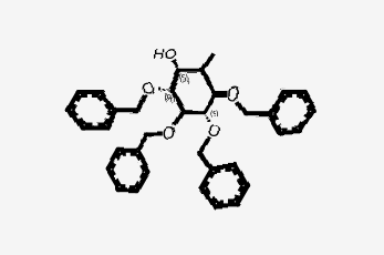 CC1C(OCc2ccccc2)[C@H](OCc2ccccc2)C(OCc2ccccc2)[C@H](OCc2ccccc2)[C@H]1O